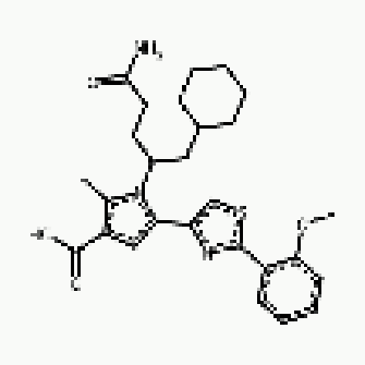 COc1ccccc1-c1nc(-c2cc(C(=O)O)c(C)n2C(CCC(N)=O)CC2CCCCC2)cs1